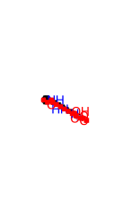 COC(=O)/C=C/C(=O)N(O)CCCCNCCCCCC(=O)Nc1ccccc1